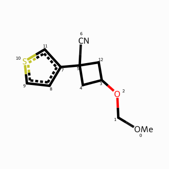 COCOC1CC(C#N)(c2ccsc2)C1